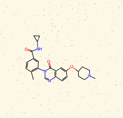 Cc1ccc(C(=O)NC2CC2)cc1-n1cnc2ccc(OC3CCN(C)CC3)cc2c1=O